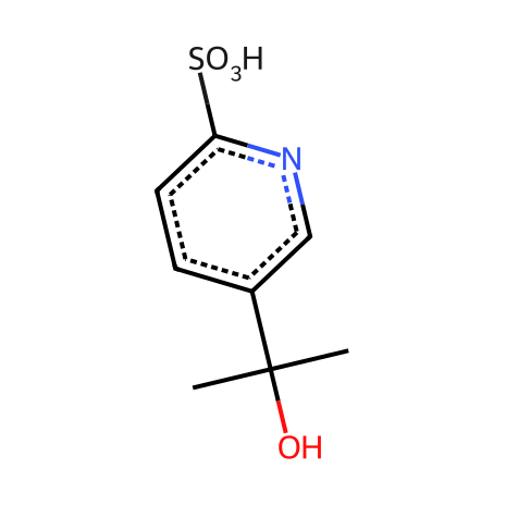 CC(C)(O)c1ccc(S(=O)(=O)O)nc1